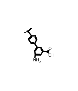 CC(=O)c1ccc(-c2cc(N)cc(C(=O)O)c2)cc1